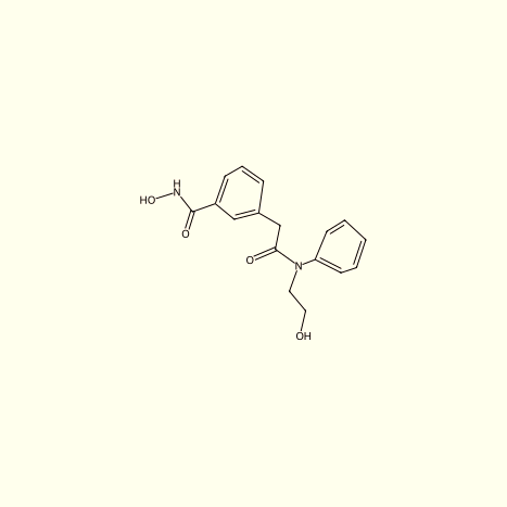 O=C(NO)c1cccc(CC(=O)N(CCO)c2ccccc2)c1